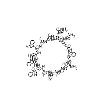 CCCC[C@H]1C(=O)N(C)[C@@H](CCCC)C(=O)N[C@@H](CCCNC(N)=O)C(=O)N[C@H](C(=O)NCC(N)=O)CSCC(=O)N[C@@H](Cc2ccccc2)C(=O)N(C)[C@@H](C)C(=O)N[C@@H](CC(N)=O)C(=O)N2CCC[C@H]2C(=O)N[C@@H](Cc2cnc[nH]2)C(=O)N[C@@H](CC(C)C)C(=O)N[C@@H](CCNC(=O)c2ccccc2)C(=O)N[C@@H](Cc2c[nH]c3ccccc23)C(=O)N[C@@H](CO)C(=O)N[C@@H](CCc2c[nH]c3ccccc23)C(=O)N1C